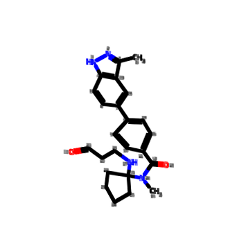 Cc1n[nH]c2ccc(-c3ccc(C(=O)N(C)C4(NCCC=O)CCCC4)cc3)cc12